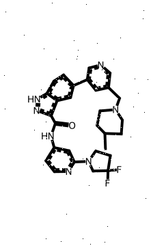 CC1CCN(Cc2cncc(-c3ccc4[nH]nc(C(=O)Nc5ccnc(N6CCC(F)(F)C6)c5)c4c3)c2)CC1